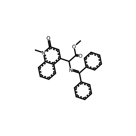 COC(=O)C(N=C(c1ccccc1)c1ccccc1)c1cc(=O)n(C)c2ccccc12